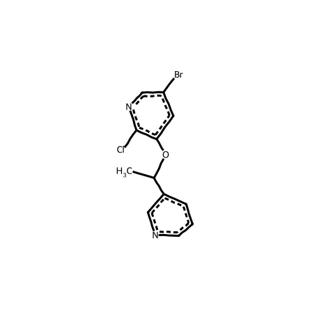 CC(Oc1cc(Br)cnc1Cl)c1cccnc1